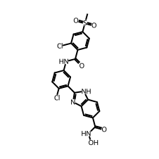 CS(=O)(=O)c1ccc(C(=O)Nc2ccc(Cl)c(-c3nc4cc(C(=O)NO)ccc4[nH]3)c2)c(Cl)c1